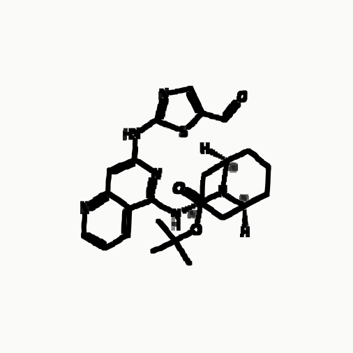 CC(C)(C)OC(=O)N1[C@@H]2CCC[C@H]1C[C@H](Nc1nc(Nc3ncc(C=O)s3)cc3ncccc13)C2